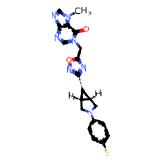 Cn1cnc2ncn(Cc3nc([C@@H]4[C@@H]5CN(c6ccc(F)cc6)C[C@@H]54)no3)c(=O)c21